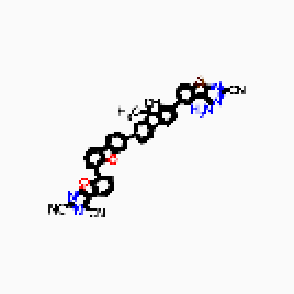 CC1(C)c2cc(-c3ccc4c(c3)oc3c(-c5cccc6c5oc5nc(C#N)nc(C#N)c56)cccc34)ccc2-c2ccc(-c3ccc4sc5nc(C#N)nc(N)c5c4c3)cc21